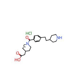 Cl.O=C(O)CC1CCN(C(=O)c2ccc(CCC3CCNCC3)cc2)CC1